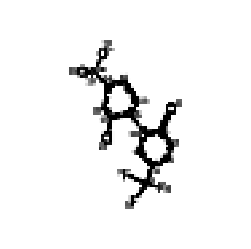 O=c1ccc(C(F)(F)F)cn1-c1ccc([N+](=O)[O-])cc1Cl